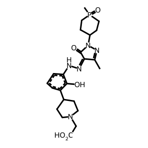 CC1=NN(C2CCP(C)(=O)CC2)C(=O)C1=NNc1cccc(C2CCN(CC(=O)O)CC2)c1O